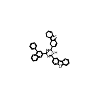 C1=Cc2sc3c(c2CC1)CC(C1N=C(c2cc(-c4ccccc4)c4ccccc4c2)N=C(c2ccc4oc5ccccc5c4c2)N1)C=C3